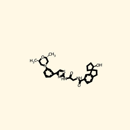 C[C@@H]1CN(c2cccc(-c3csc(NC(=O)CNC(=O)c4ccc5c(c4)C4(CCC[C@H]4O)CC5)n3)c2)C[C@H](C)O1